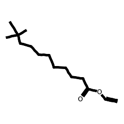 C=COC(=O)CCCCCCCCC(C)(C)C